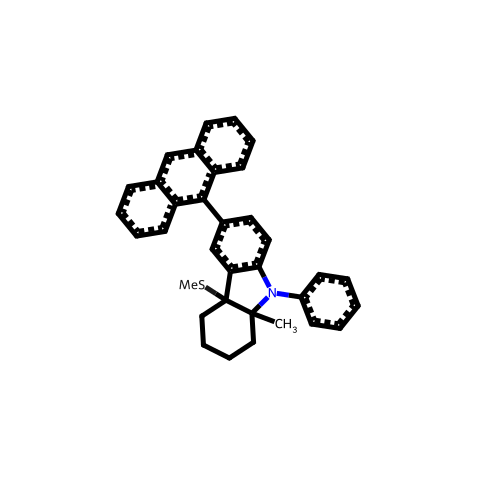 CSC12CCCCC1(C)N(c1ccccc1)c1ccc(-c3c4ccccc4cc4ccccc34)cc12